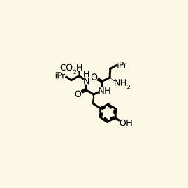 CC(C)C[C@H](NC(=O)[C@H](Cc1ccc(O)cc1)NC(=O)[C@@H](N)CC(C)C)C(=O)O